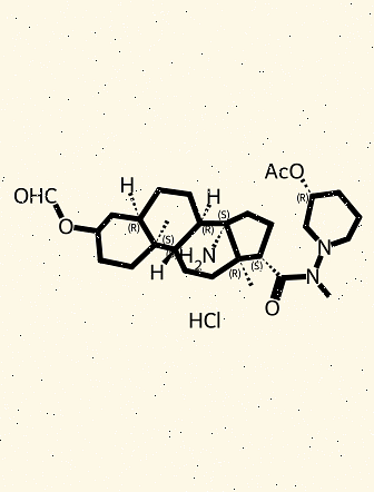 CC(=O)O[C@@H]1CCCN(N(C)C(=O)[C@H]2CC[C@]3(N)[C@@H]4CC[C@@H]5CC(OC=O)CC[C@]5(C)[C@H]4CC[C@]23C)C1.Cl